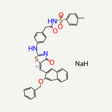 Cc1ccc(S(=O)(=O)NC(=O)Cc2ccc(NC3=NC(=O)/C(=C\c4cc5ccccc5cc4OCc4ccccc4)S3)cc2)cc1.[NaH]